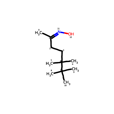 CC(CCC(C)(C)C(C)(C)C)=NO